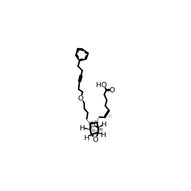 O=C(O)CCC/C=C\C[C@H]1[C@@H](CCCCOCCC#CCCc2ccccc2)[C@@H]2O[C@H]1[C@@H]1O[C@@H]12